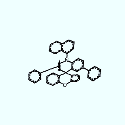 c1ccc(-c2ccc3c(c2)C2(c4ccccc4Oc4ccccc42)c2cc(-c4ccccc4)ccc2N3c2cccc3ccccc23)cc1